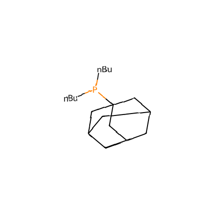 CCCCP(CCCC)C12CC3CC(CC(C3)C1)C2